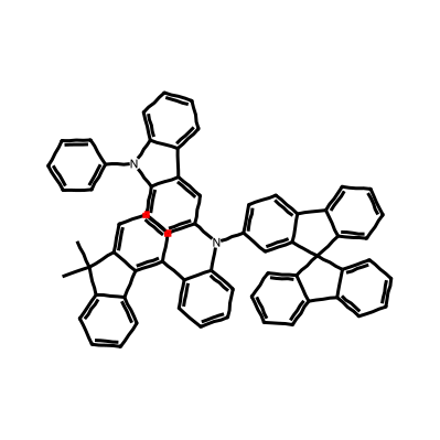 CC1(C)c2ccccc2-c2c(-c3ccccc3N(c3ccc4c(c3)C3(c5ccccc5-c5ccccc53)c3ccccc3-4)c3ccc4c(c3)c3ccccc3n4-c3ccccc3)cccc21